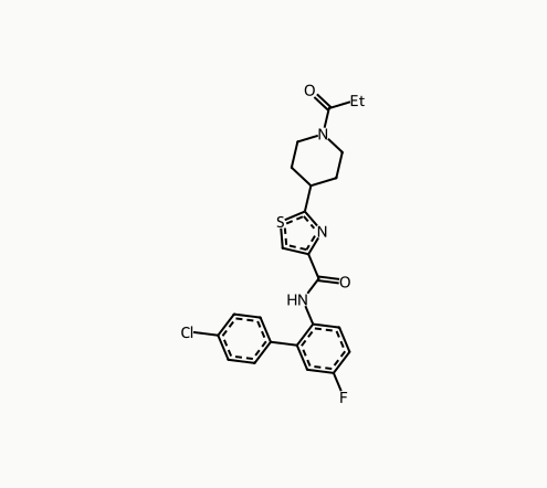 CCC(=O)N1CCC(c2nc(C(=O)Nc3ccc(F)cc3-c3ccc(Cl)cc3)cs2)CC1